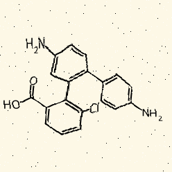 Nc1ccc(-c2ccc(N)cc2-c2c(Cl)cccc2C(=O)O)cc1